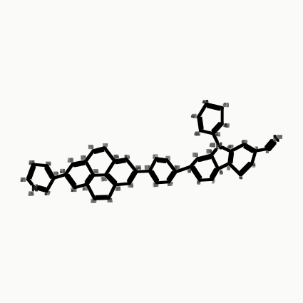 N#Cc1ccc2c3ccc(-c4ccc(-c5cc6ccc7cc(-c8cccnc8)cc8ccc(c5)c6c78)cc4)cc3n(-c3ccccc3)c2c1